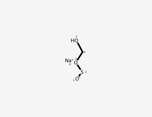 [Na+].[O-]SOCO